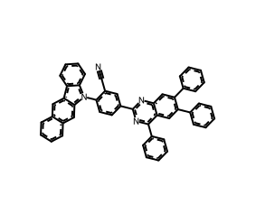 N#Cc1cc(-c2nc(-c3ccccc3)c3cc(-c4ccccc4)c(-c4ccccc4)cc3n2)ccc1-n1c2ccccc2c2cc3ccccc3cc21